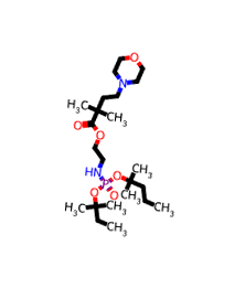 CCCC(C)(C)OP(=O)(NCCOC(=O)C(C)(C)CCN1CCOCC1)OC(C)(C)CC